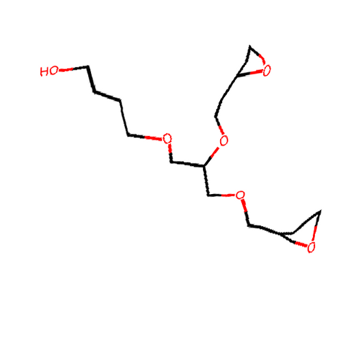 OCCCCOCC(COCC1CO1)OCC1CO1